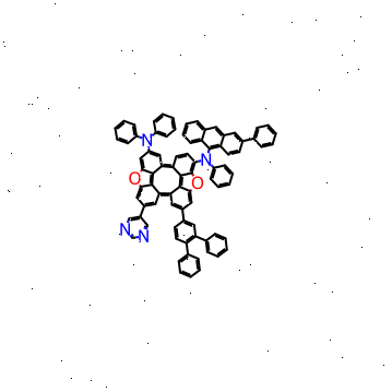 c1ccc(-c2ccc3c(N(c4ccccc4)c4ccc5c6cc(N(c7ccccc7)c7ccccc7)cc7oc8cc(-c9cncnc9)cc(c9cc(-c%10ccc(-c%11ccccc%11)c(-c%11ccccc%11)c%10)cc%10oc4c5c%109)c8c76)c4ccccc4cc3c2)cc1